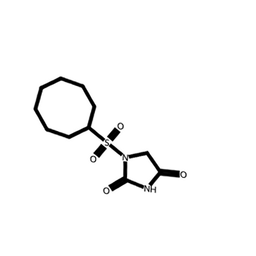 O=C1CN(S(=O)(=O)C2CCCCCCC2)C(=O)N1